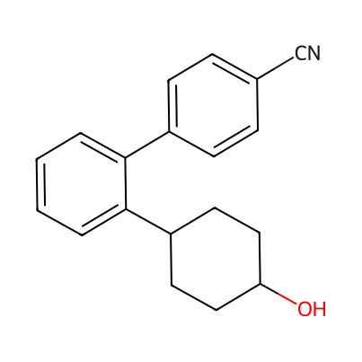 N#Cc1ccc(-c2ccccc2C2CCC(O)CC2)cc1